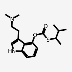 CC(C)C(C)SC(=O)Oc1cccc2[nH]cc(CCN(C)C)c12